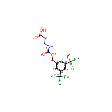 O=C(O)CCNC(=O)OCc1cc(C(F)(F)F)cc(C(F)(F)F)c1